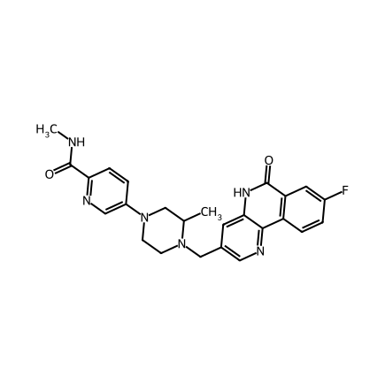 CNC(=O)c1ccc(N2CCN(Cc3cnc4c(c3)[nH]c(=O)c3cc(F)ccc34)C(C)C2)cn1